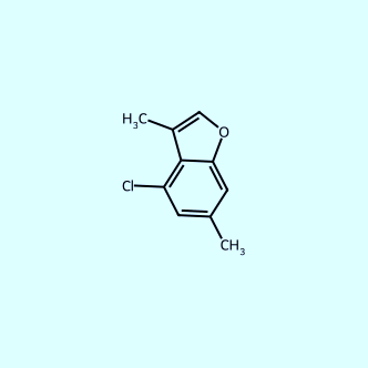 Cc1cc(Cl)c2c(C)coc2c1